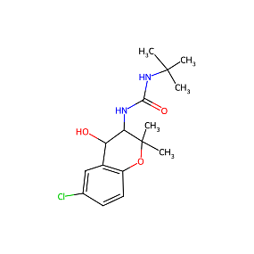 CC(C)(C)NC(=O)NC1C(O)c2cc(Cl)ccc2OC1(C)C